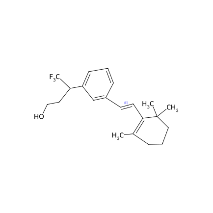 CC1=C(/C=C/c2cccc(C(CCO)C(F)(F)F)c2)C(C)(C)CCC1